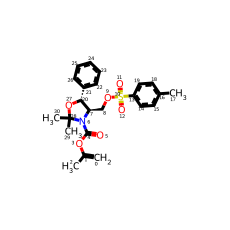 C=C(C)OC(=O)N1[C@H](COS(=O)(=O)c2ccc(C)cc2)[C@@H](c2ccccc2)OC1(C)C